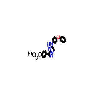 O=C(O)c1ccc(-c2cnn3ccc(Nc4ccc(Oc5ccccc5)cc4)nc23)cc1